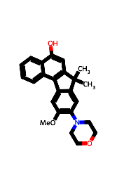 COc1cc2c(cc1N1CCOCC1)C(C)(C)c1cc(O)c3ccccc3c1-2